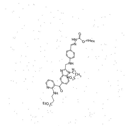 CCCCCCOC(=O)NN=Cc1ccc(NCc2nc3cc(C(=O)c4cccnc4NCCC(=O)OCC)ccc3n2C)cc1.CS(=O)(=O)O